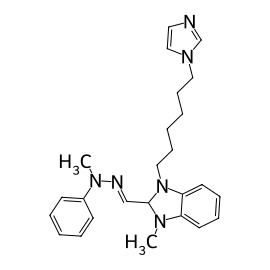 CN(/N=C/C1N(C)c2ccccc2N1CCCCCCn1ccnc1)c1ccccc1